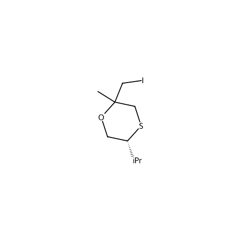 CC(C)[C@@H]1COC(C)(CI)CS1